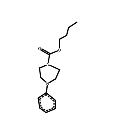 CCCCOC(=O)N1CCN(c2ccccc2)CC1